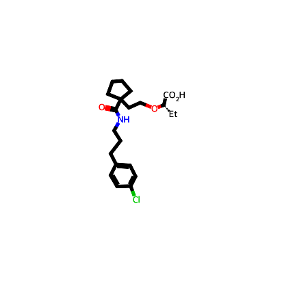 CC[C@H](OCCC1(C(=O)NCCCc2ccc(Cl)cc2)CCCC1)C(=O)O